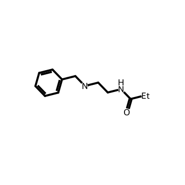 CCC(=O)NCC[N]Cc1ccccc1